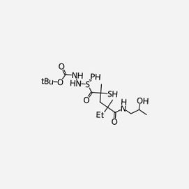 CCC(C)(CC(C)(S)C(=O)S(=P)NNC(=O)OC(C)(C)C)C(=O)NCC(C)O